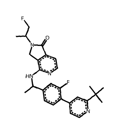 CC(Nc1nccc2c1CN(C(C)CF)C2=O)c1ccc(-c2ccnc(C(C)(C)C)c2)c(F)c1